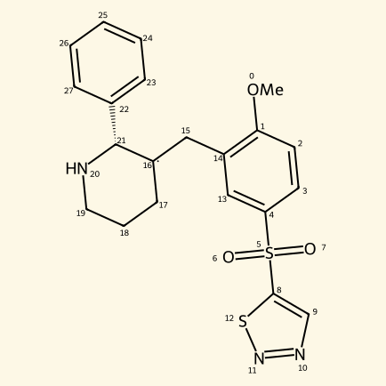 COc1ccc(S(=O)(=O)c2cnns2)cc1C[C]1CCCN[C@@H]1c1ccccc1